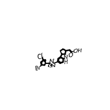 O=C(O)CC1CCC2c3cc(-c4noc(-c5cc(Cl)cc(Br)c5)n4)ccc3NC12